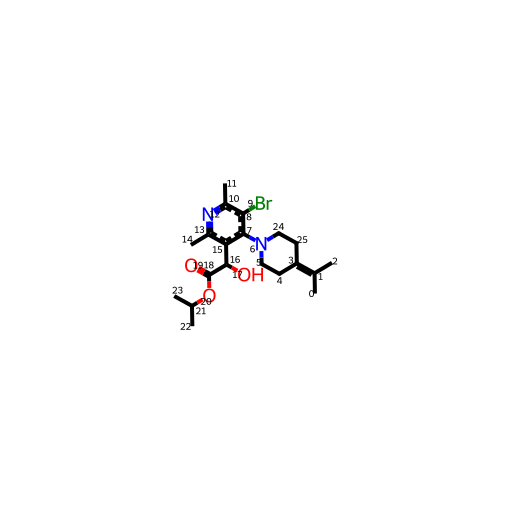 CC(C)=C1CCN(c2c(Br)c(C)nc(C)c2C(O)C(=O)OC(C)C)CC1